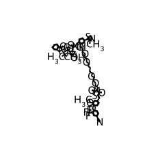 COc1cc(/C=C2\SC(=O)N(CCOCCOCCCCCOCCOCCOc3cc(-c4scnc4C)ccc3CNC(=O)[C@@H]3C[C@@H](O)CN3C(=O)[C@H](C(C)C)N3Cc4ccccc4C3=O)C2=O)ccc1Oc1ccc(C#N)cc1C(F)(F)F